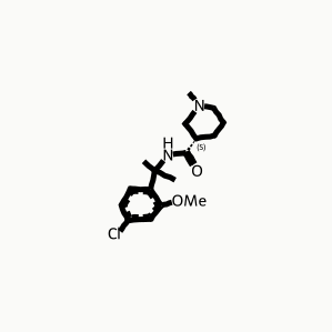 COc1cc(Cl)ccc1C(C)(C)NC(=O)[C@H]1CCCN(C)C1